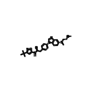 COCCN(C)c1ccc2c(c1)ncn2-c1ccc(CC(=O)Nc2cc(C(C)(C)C)no2)cc1